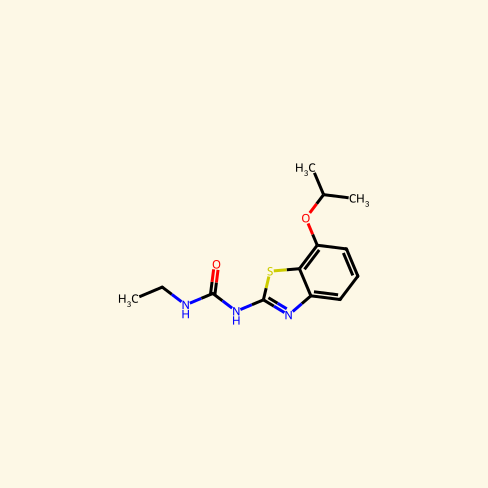 CCNC(=O)Nc1nc2cccc(OC(C)C)c2s1